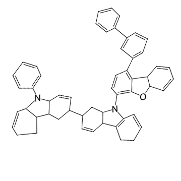 C1=CC2Oc3c(N4C5=C(CCC=C5)C5C=CC(C6C=CC7C(C6)C6CCC=CC6N7c6ccccc6)CC54)ccc(-c4cccc(-c5ccccc5)c4)c3C2C=C1